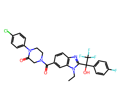 CCn1c(C(O)(c2ccc(F)cc2)C(F)(F)F)nc2ccc(C(=O)N3CCN(c4ccc(Cl)cc4)C(=O)C3)cc21